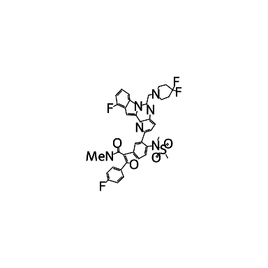 CNC(=O)c1c(-c2ccc(F)cc2)oc2cc(N(C)S(C)(=O)=O)c(-c3ccc4nc(CN5CCC(F)(F)CC5)n5c6cccc(F)c6cc5c4n3)cc12